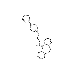 Cc1c(CCN2CCN(c3ccccc3)CC2)c2cccc3c2n1-c1ccccc1CC3